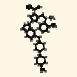 C[C@@H](Oc1cc(-n2cnc3cnc(CN4CCC(N5CCN(C)CC5)CC4)cc32)sc1C(N)=O)c1ccccc1C(F)(F)F